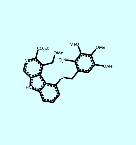 CCOC(=O)c1ncc2[nH]c3cccc(OCc4cc(OC)c(OC)c(OC)c4[N+](=O)[O-])c3c2c1COC